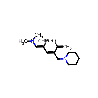 C=C(OC)/C(=C\C(C=O)=C\N(C)C)CN1CCCCC1